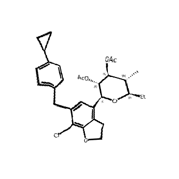 CC[C@H]1O[C@@H](c2cc(Cc3ccc(C4CC4)cc3)c(Cl)c3c2CCO3)[C@H](OC(C)=O)[C@@H](OC(C)=O)[C@@H]1C